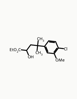 CCOC(=O)C(O)CC(C)(C)c1ccc(Cl)c(OC)c1